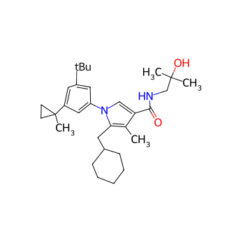 Cc1c(C(=O)NCC(C)(C)O)cn(-c2cc(C(C)(C)C)cc(C3(C)CC3)c2)c1CC1CCCCC1